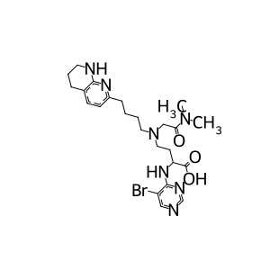 CN(C)C(=O)CN(CCCCc1ccc2c(n1)NCCC2)CCC(Nc1ncncc1Br)C(=O)O